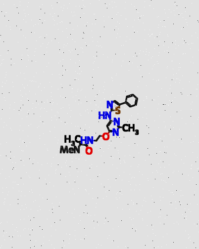 CN[C@@H](C)C(=O)NCCOc1cc(Nc2ncc(-c3ccccc3)s2)nc(C)n1